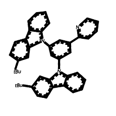 CC(C)(C)c1ccc2c3ccccc3n(-c3cc(-c4ccccn4)cc(-n4c5ccccc5c5ccc(C(C)(C)C)cc54)c3)c2c1